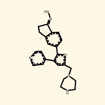 ON=C1CCc2cc(-c3oc(CN4CCNCC4)cc3-c3ccncc3)ccc21